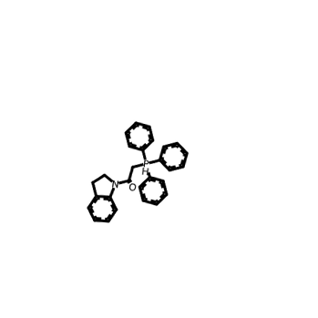 O=C(C[PH](c1ccccc1)(c1ccccc1)c1ccccc1)N1CCc2ccccc21